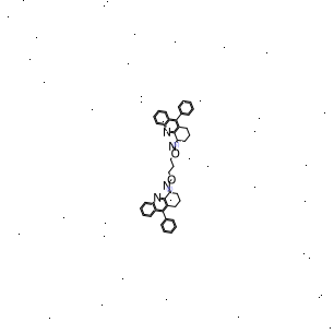 c1ccc(-c2c3c(nc4ccccc24)/C(=N/OCCCO/N=C2\CCCc4c2nc2ccccc2c4-c2ccccc2)CCC3)cc1